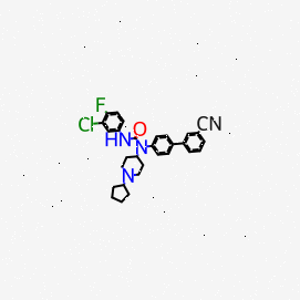 N#Cc1cccc(-c2ccc(N(C(=O)Nc3ccc(F)c(Cl)c3)C3CCN(C4CCCC4)CC3)cc2)c1